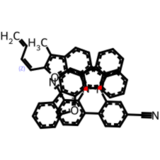 C=C/C=C\c1oc2c(ccc3c4ccccc4n(-c4c(C#N)cccc4-c4ccc(C#N)cc4-n4c5ccccc5c5ccc6c7ccccc7oc6c54)c32)c1C